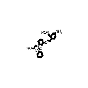 Nc1ccc(CCOc2cccc(N(CCO)S(=O)(=O)c3ccccc3)c2)c(C=NO)c1